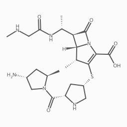 CNCC(=O)N[C@H](C)[C@H]1C(=O)N2C(C(=O)O)=C(S[C@@H]3CN[C@H](C(=O)N4C[C@H](N)C[C@H]4C)C3)[C@H](C)[C@H]12